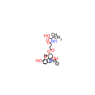 CC(C)C(NC(=O)CCC(=O)O[C@H]1CC[C@@]2(O)[C@H]3Cc4ccc(O)c5c4[C@@]2(CCN3CC2CCC2)[C@H]1O5)C(=O)O